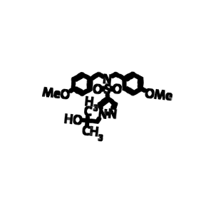 COc1ccc(CN(Cc2ccc(OC)cc2)S(=O)(=O)c2cnn(CC(C)(C)O)c2)cc1